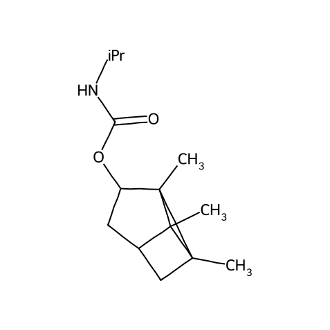 CC(C)NC(=O)OC1CC2CC3(C)C2(C)C13C